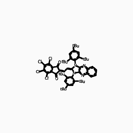 CC(C)(C)c1cc(C(C)(C)C)c(N2C(=CC=C3C(=O)c4c(Cl)c(Cl)c(Cl)c(Cl)c4C3=O)N(c3c(C(C)(C)C)cc(C(C)(C)C)cc3C(C)(C)C)c3nc4ccccc4nc32)c(C(C)(C)C)c1